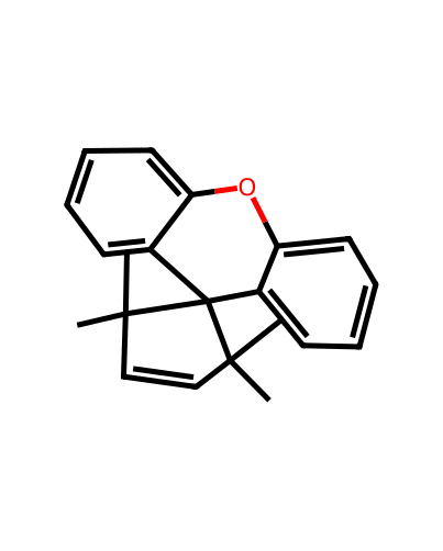 CC1(C)C=CC(C)(C)C12c1ccccc1Oc1ccccc12